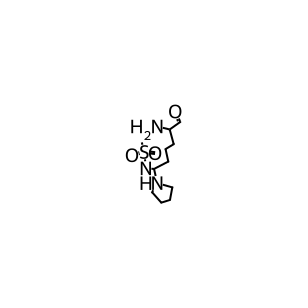 CS(=O)(=O)NC(CCCC(N)C=O)N1CCCC1